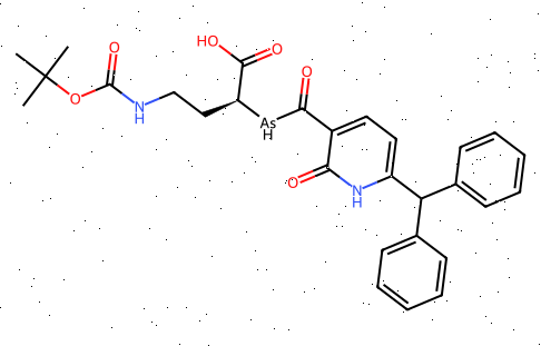 CC(C)(C)OC(=O)NCC[C@H]([AsH]C(=O)c1ccc(C(c2ccccc2)c2ccccc2)[nH]c1=O)C(=O)O